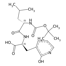 CC(C)C[C@H](NC(=O)OC(C)(C)C)C(=O)N[C@@H](Cc1cccnc1O)C(=O)O